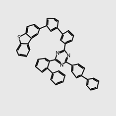 c1ccc(-c2ccc(-c3nc(-c4cccc(-c5cccc(-c6ccc7sc8ccccc8c7c6)c5)c4)nc(-c4ccccc4-c4ccccc4)n3)cc2)cc1